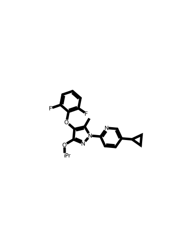 Cc1c(Oc2c(F)cccc2F)c(OC(C)C)nn1-c1ccc(C2CC2)cn1